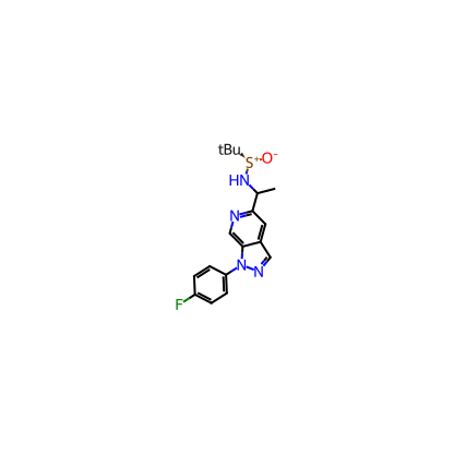 CC(N[S@+]([O-])C(C)(C)C)c1cc2cnn(-c3ccc(F)cc3)c2cn1